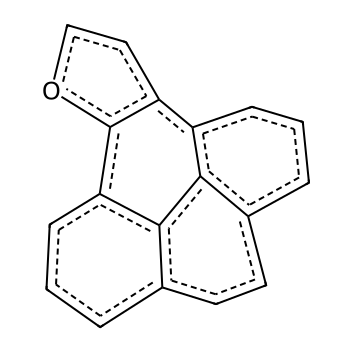 c1cc2ccc3cccc4c5occc5c(c1)c2c34